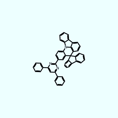 c1ccc(-c2cc(-c3ccccc3)nc(-c3ccc4c(c3)C3(c5ccccc5-c5ccccc53)c3cccc5c6ccccc6n-4c35)n2)cc1